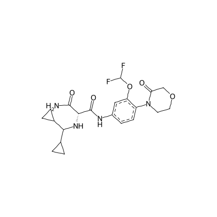 NC(=O)[C@@H](NC(C1CC1)C1CC1)C(=O)Nc1ccc(N2CCOCC2=O)c(OC(F)F)c1